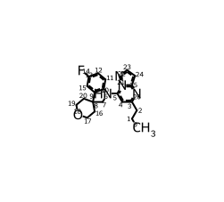 CCCc1cc(NCC2(c3cccc(F)c3)CCOCC2)n2nccc2n1